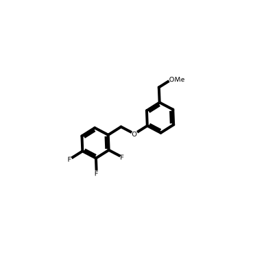 COCc1cccc(OCc2ccc(F)c(F)c2F)c1